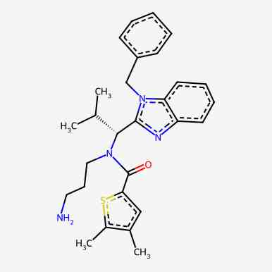 Cc1cc(C(=O)N(CCCN)[C@@H](c2nc3ccccc3n2Cc2ccccc2)C(C)C)sc1C